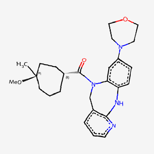 CO[C@]1(C)CCC[C@@H](C(=O)N2Cc3cccnc3Nc3ccc(N4CCOCC4)cc32)CC1